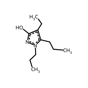 CCCc1c(CC)c(O)nn1CCC